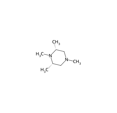 C[C@@H]1CN(C)C[C@H](C)N1C